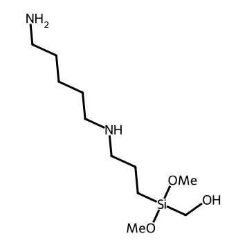 CO[Si](CO)(CCCNCCCCCN)OC